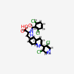 O=C(NC(Cc1ccc2nc(-c3c(Cl)cncc3Cl)ccc2c1)C(=O)O)c1c(Cl)cccc1Cl